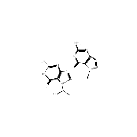 CC(O)n1cnc2nc(N)[nH]c(=O)c21.Cn1cnc2nc(N)[nH]c(=O)c21